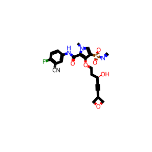 C=NS(=O)(=O)c1cn(C)c(C(=O)Nc2ccc(F)c(C#N)c2)c1OCC[C@H](O)C#CC1COC1